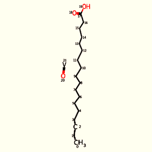 CCCCCCCCCCCCCCCCCC(=O)O.[O]=[V]